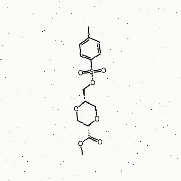 COC(=O)[C@@H]1CO[C@@H](COS(=O)(=O)c2ccc(C)cc2)CO1